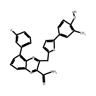 CCCOc1ccc(-c2ccc(Cc3nc4c(-c5cccc(F)c5)cccc4nc3C(N)=O)s2)cc1C